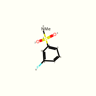 CNS(=O)(=O)c1cc[c]c(F)c1